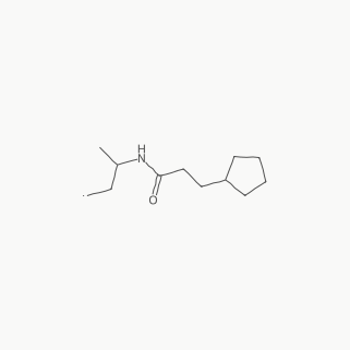 [CH2]CC(C)NC(=O)CCC1CCCC1